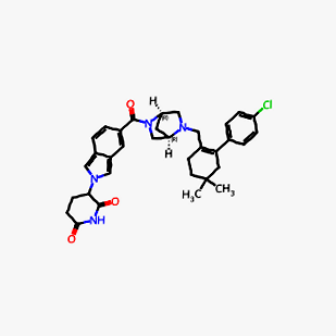 CC1(C)CCC(CN2C[C@H]3C[C@@H]2CN3C(=O)c2ccc3cn(C4CCC(=O)NC4=O)cc3c2)=C(c2ccc(Cl)cc2)C1